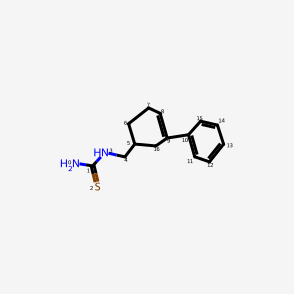 NC(=S)NCC1CCC=C(c2ccccc2)C1